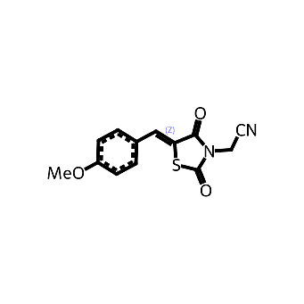 COc1ccc(/C=C2\SC(=O)N(CC#N)C2=O)cc1